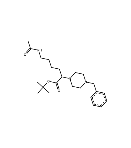 CC(=O)NCCCCC(C(=O)OC(C)(C)C)N1CCN(Cc2ccccc2)CC1